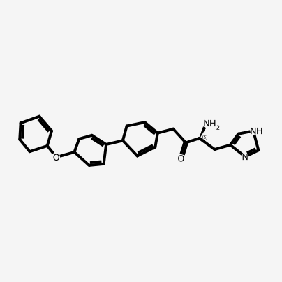 N[C@@H](Cc1c[nH]cn1)C(=O)CC1=CCC(C2=CCC(OC3C=CC=CC3)C=C2)C=C1